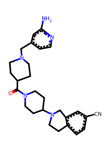 N#Cc1ccc2c(c1)CN(C1CCN(C(=O)C3CCN(Cc4ccnc(N)c4)CC3)CC1)CC2